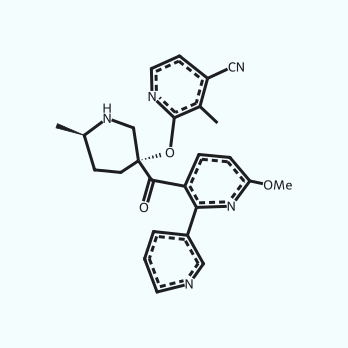 COc1ccc(C(=O)[C@@]2(Oc3nccc(C#N)c3C)CC[C@@H](C)NC2)c(-c2cccnc2)n1